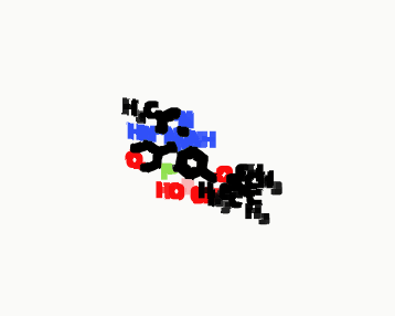 Cc1cnc(Nc2cc(F)c(B(O)O)c(CO[Si](C)(C)C(C)(C)C)c2)nc1NC1COCCC1C#N